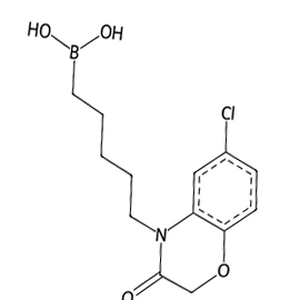 O=C1COc2ccc(Cl)cc2N1CCCCCB(O)O